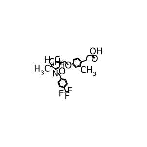 Cc1cc(OC[C@@H](C)c2oc(-c3ccc(C(F)(F)F)cc3)nc2C(C)C)ccc1CCC(=O)O